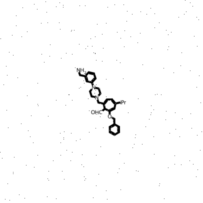 CC(C)C1=CC=C(CN2CCN(c3cccc(CN)c3)CC2)C(C=O)C(OCc2ccccc2)=C1